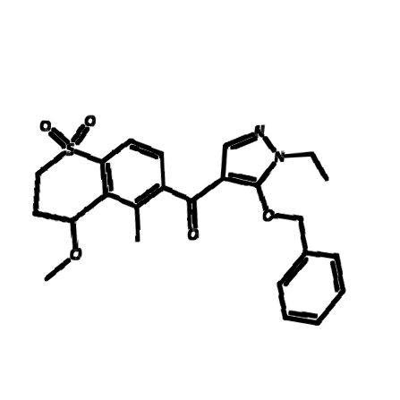 CCn1ncc(C(=O)c2ccc3c(c2C)C(OC)CCS3(=O)=O)c1OCc1ccccc1